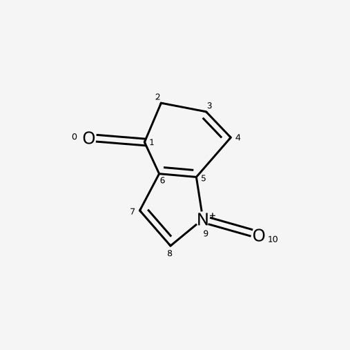 O=C1CC=CC2=C1C=C[N+]2=O